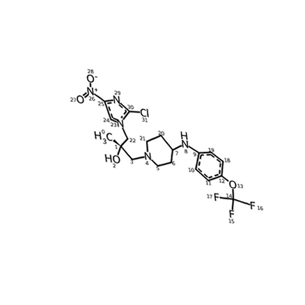 C[C@](O)(CN1CCC(Nc2ccc(OC(F)(F)F)cc2)CC1)Cn1cc([N+](=O)[O-])nc1Cl